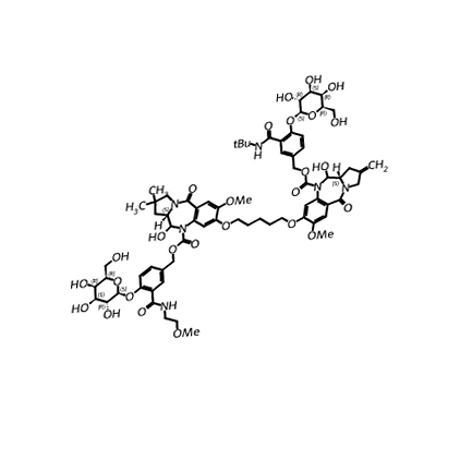 C=C1C[C@H]2C(O)N(C(=O)OCc3ccc(O[C@@H]4O[C@H](CO)[C@H](O)[C@H](O)[C@H]4O)c(C(=O)NC(C)(C)C)c3)c3cc(OCCCCCOc4cc5c(cc4OC)C(=O)N4CC(C)(C)C[C@H]4C(O)N5C(=O)OCc4ccc(O[C@@H]5O[C@H](CO)[C@H](O)[C@H](O)[C@H]5O)c(C(=O)NCCOC)c4)c(OC)cc3C(=O)N2C1